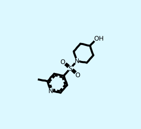 Cc1cc(S(=O)(=O)N2CCC(O)CC2)ccn1